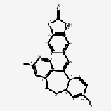 O=c1[nH]c2cc(/C=C3\c4ccc(F)cc4CCC4C=C(F)C=CC34)ccc2o1